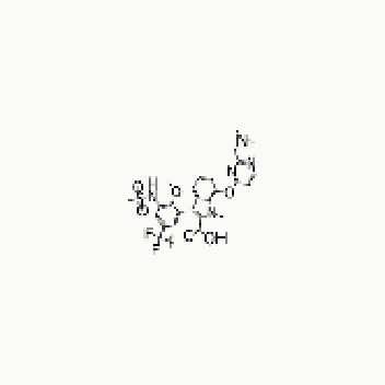 COc1c(NS(C)(=O)=O)cc(C(F)(F)F)cc1-c1c(C(=O)O)n(C)c2c(Oc3ccnc(CN(C)C)n3)cccc12